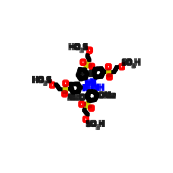 COc1cc(S(=O)(=O)CCOS(=O)(=O)O)c(OC)cc1NN(c1cc(S(=O)(=O)CCOS(=O)(=O)O)ccc1OC)N(Nc1ccc(S(=O)(=O)CCOS(=O)(=O)O)cc1)c1cccc(S(=O)(=O)CCOS(=O)(=O)O)c1